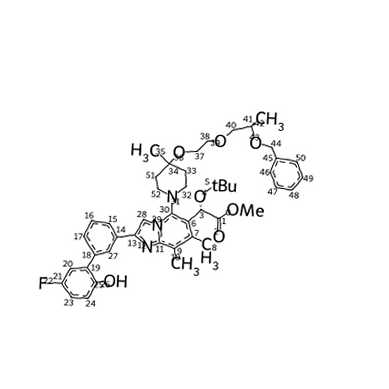 COC(=O)[C@@H](OC(C)(C)C)c1c(C)c(C)c2nc(-c3cccc(-c4cc(F)ccc4O)c3)cn2c1N1CCC(C)(OCCOC[C@@H](C)OCc2ccccc2)CC1